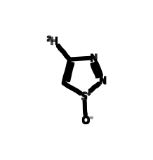 [2H]c1c[s+]([O-])nn1